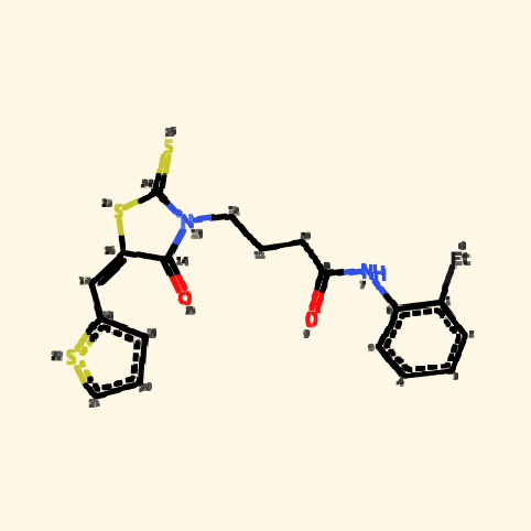 CCc1ccccc1NC(=O)CCCN1C(=O)/C(=C\c2cccs2)SC1=S